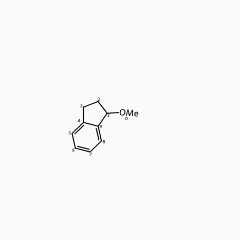 [CH2]OC1CCc2ccccc21